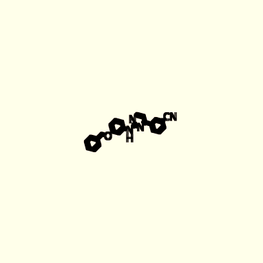 N#Cc1cccc(-c2ccnc(Nc3cccc(OCc4ccccc4)c3)n2)c1